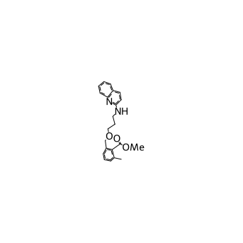 COC(=O)c1c(C)cccc1COCCCNc1ccc2ccccc2n1